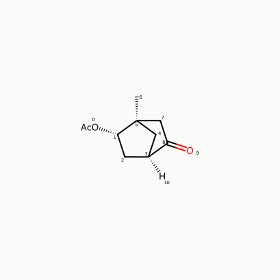 CC(=O)O[C@H]1C[C@H]2C[C@]1(C)CC2=O